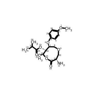 COc1ccc(O[C@H]2COC[C@H](N)C(=O)O[C@@H](C)[C@@H]2OC(=O)C(C)C)cc1